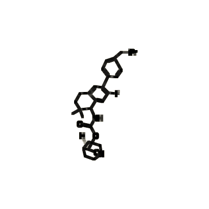 CC(C)Cc1ccc(-c2cc3c(cc2F)C(NC(=O)O[C@H]2CN4CCC2CC4)C(C)(C)CC3)cc1